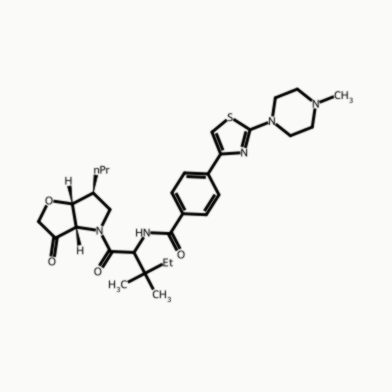 CCC[C@H]1CN(C(=O)C(NC(=O)c2ccc(-c3csc(N4CCN(C)CC4)n3)cc2)C(C)(C)CC)[C@@H]2C(=O)CO[C@H]12